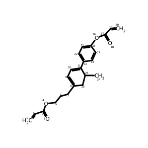 C=CC(=O)OCCCC1=CC=C(c2ccc(OC(=O)C=C)cc2)C(C)C1